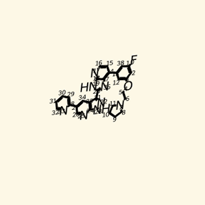 Fc1cc(OCCN2CCCC2)cc(-c2ccnc3[nH]c(-c4n[nH]c5ncc(-c6ccccn6)cc45)nc23)c1